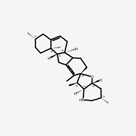 CC1=C2C[C@H]3[C@@H](CC=C4C[C@@H](C)CC[C@@]43C)C2CC[C@]12O[C@@H]1C[C@H](C)CN[C@H]1[C@H]2C